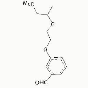 COCC(C)OCCOc1cccc(C=O)c1